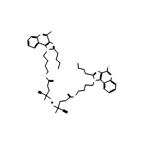 CCCCc1nc2c(N)nc3ccccc3c2n1CCCCNC(=O)CCC(C)(C#N)/N=N/C(C)(C#N)CCC(=O)NCCCCn1c(CCCC)nc2c(N)nc3ccccc3c21